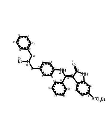 CCOC(=O)c1ccc2c(c1)NC(=O)/C2=C(\Nc1ccc(CN(CC)Cc2ccccc2)cc1)c1ccccc1